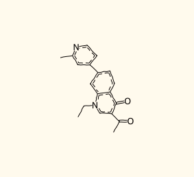 CCn1cc(C(C)=O)c(=O)c2ccc(-c3ccnc(C)c3)cc21